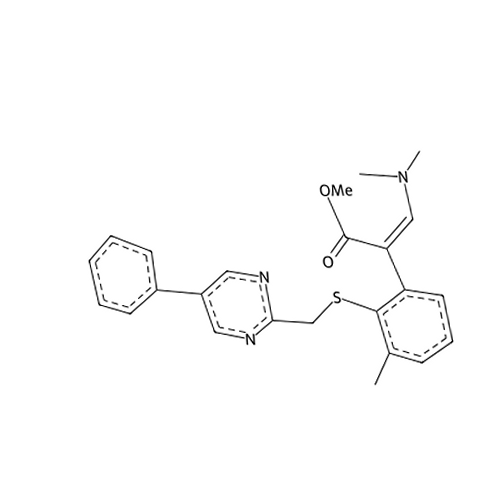 COC(=O)C(=CN(C)C)c1cccc(C)c1SCc1ncc(-c2ccccc2)cn1